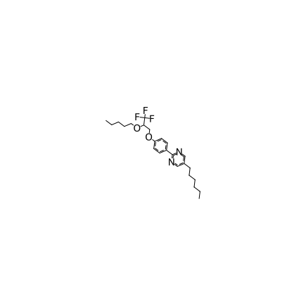 CCCCCCc1cnc(-c2ccc(OCC(OCCCCC)C(F)(F)F)cc2)nc1